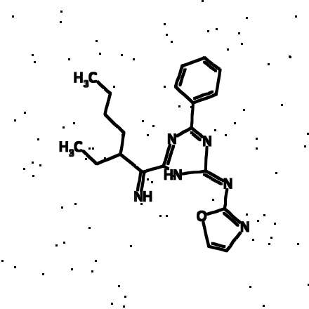 CCCCC(CC)C(=N)c1nc(-c2ccccc2)nc(=Nc2ncco2)[nH]1